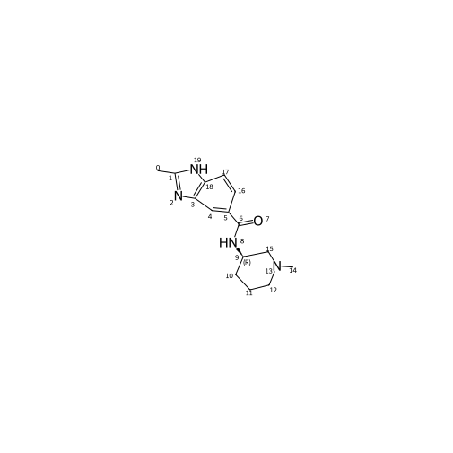 Cc1nc2cc(C(=O)N[C@@H]3CCCN(C)C3)ccc2[nH]1